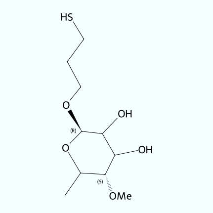 CO[C@@H]1C(C)O[C@@H](OCCCS)C(O)C1O